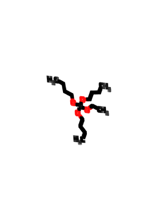 CCCC[O][Ti]([O]CC)([O]CCCC)[O]CCCC